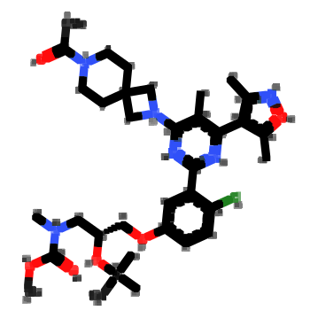 COC(=O)N1CCC2(CC1)CN(c1nc(-c3cc(OC[C@@H](CN(C)C(=O)OC(C)(C)C)O[Si](C)(C)C(C)(C)C)ccc3Cl)nc(-c3c(C)noc3C)c1C)C2